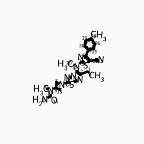 CCc1nc2sc(N3CC(N(C)C(N)=O)C3)nn2c1N(C)c1nc(-c2ccc(C)cc2)c(C#N)s1